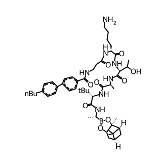 CCCCc1ccc(-c2ccc(C(=O)NCCC(=O)N[C@@H](CCCCN)C(=O)N[C@H](C(=O)N[C@@H](C)C(=O)N[C@H](C(=O)N[C@@H](C)B3OC4C[C@@H]5C[C@@H](C5(C)C)[C@]4(C)O3)C(C)(C)C)C(C)O)cc2)cc1